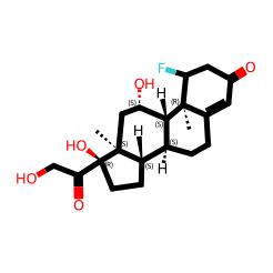 C[C@]12C[C@H](O)[C@H]3[C@@H](CCC4=CC(=O)CC(F)[C@@]43C)[C@@H]1CC[C@]2(O)C(=O)CO